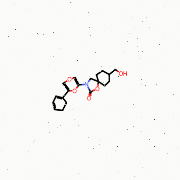 O=C1OC2(CCC(CO)CC2)CN1C1=COC=C(C2=CC=CCC2)O1